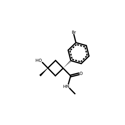 CNC(=O)[C@]1(c2cccc(Br)c2)C[C@@](C)(O)C1